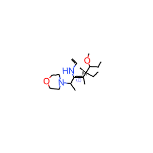 C=CN/C(=C(/C)[C@@](C)(CC)C(CC)OC)C(C)N1CCOCC1